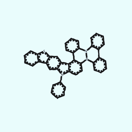 c1ccc(-n2c3cc4c(cc3c3c5c(ccc32)B2c3ccccc3-c3ccccc3N2c2ccccc2-5)sc2ccccc24)cc1